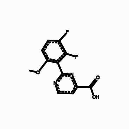 COc1ccc(F)c(F)c1-c1nccc(C(=O)O)n1